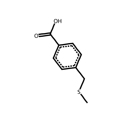 CSCc1ccc(C(=O)O)cc1